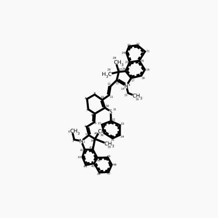 CCN1/C(=C/C=C2\CCCC(/C=C/C3=[N+](CC)c4ccc5ccccc5c4C3(C)C)=C2Sc2ccccc2)C(C)(C)c2c1ccc1ccccc21